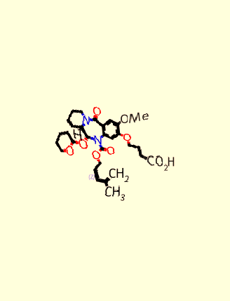 C=C(C)/C=C\COC(=O)N1c2cc(OCCCC(=O)O)c(OC)cc2C(=O)N2CCCC[C@H]2C1OC1CCCCO1